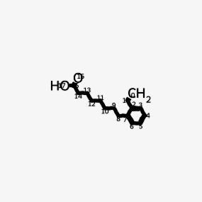 C=Cc1ccccc1CCCCCCCC(=O)O